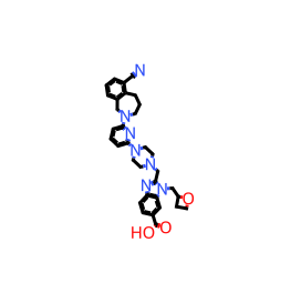 N#Cc1cccc2c1CCCN(c1cccc(N3CCN(Cc4nc5ccc(C(=O)O)cc5n4CC4CCO4)CC3)n1)C2